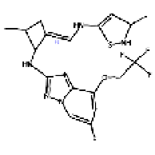 CC1C=C(N/C=C2\CC(C)C2Nc2nc3c(OCC(F)(F)F)cc(F)cn3n2)SN1